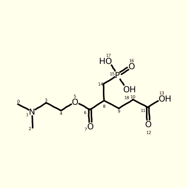 CN(C)CCOC(=O)C(CCC(=O)O)CP(=O)(O)O